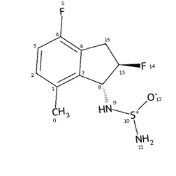 Cc1ccc(F)c2c1[C@@H](N[S+](N)[O-])[C@H](F)C2